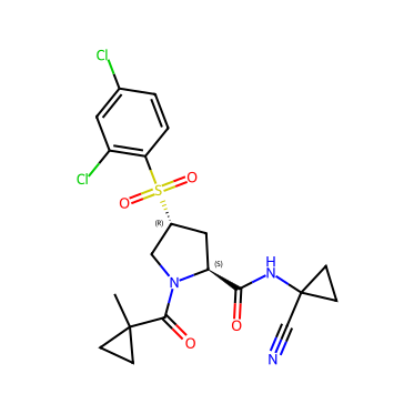 CC1(C(=O)N2C[C@H](S(=O)(=O)c3ccc(Cl)cc3Cl)C[C@H]2C(=O)NC2(C#N)CC2)CC1